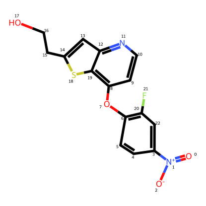 O=[N+]([O-])c1ccc(Oc2ccnc3cc(CCO)sc23)c(F)c1